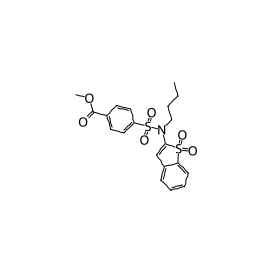 CCCCN(C1=Cc2ccccc2S1(=O)=O)S(=O)(=O)c1ccc(C(=O)OC)cc1